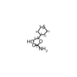 NC(=O)OC(CO)C1CCSCC1